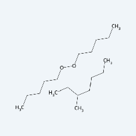 CCCCC(C)CC.CCCCCOOCCCCC